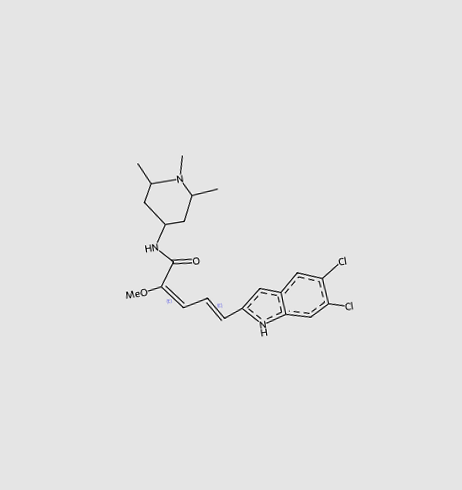 CO/C(=C/C=C/c1cc2cc(Cl)c(Cl)cc2[nH]1)C(=O)NC1CC(C)N(C)C(C)C1